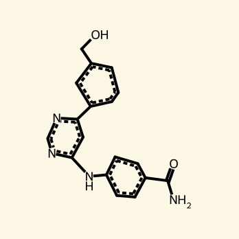 NC(=O)c1ccc(Nc2cc(-c3cccc(CO)c3)ncn2)cc1